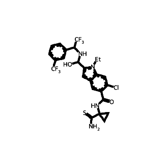 CCn1c(C(O)NC(c2cccc(C(F)(F)F)c2)C(F)(F)F)cc2cc(C(=O)NC3(C(N)=S)CC3)c(Cl)cc21